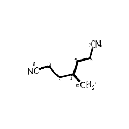 [CH2]C(CCC#N)CCC#N